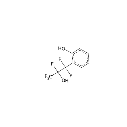 Oc1ccccc1C(F)(F)C(O)(F)C(F)(F)F